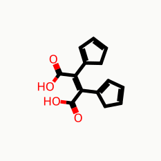 O=C(O)/C(C1=CC=CC1)=C(\C(=O)O)C1=CC=CC1